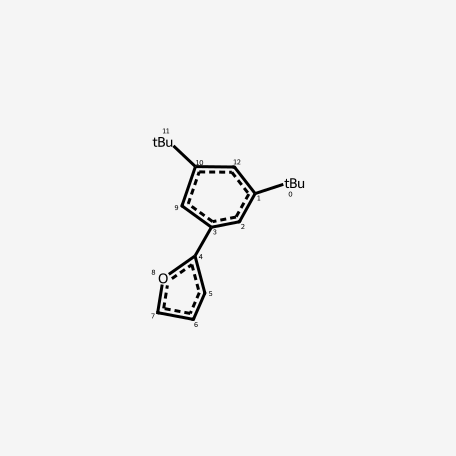 CC(C)(C)c1cc(-c2ccco2)cc(C(C)(C)C)c1